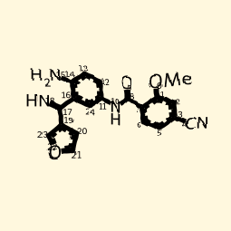 COc1cc(C#N)ccc1C(=O)Nc1ccc(N)c(C(=N)c2ccoc2)c1